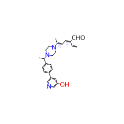 C=C/C(C=O)=C\C=C(/C)N1CCN(C(C)c2ccc(-c3cncc(O)c3)cc2)CC1